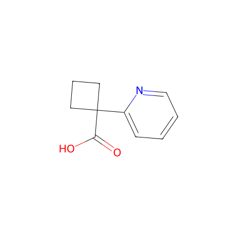 O=C(O)C1(c2ccccn2)CCC1